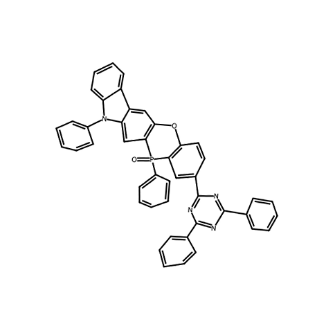 O=P1(c2ccccc2)c2cc(-c3nc(-c4ccccc4)nc(-c4ccccc4)n3)ccc2Oc2cc3c4ccccc4n(-c4ccccc4)c3cc21